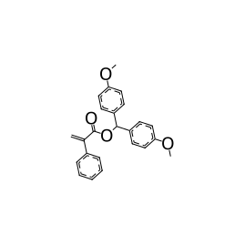 C=C(C(=O)OC(c1ccc(OC)cc1)c1ccc(OC)cc1)c1ccccc1